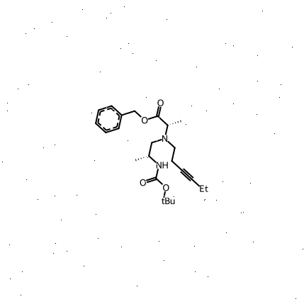 CCC#CCCN(C[C@@H](C)NC(=O)OC(C)(C)C)[C@@H](C)C(=O)OCc1ccccc1